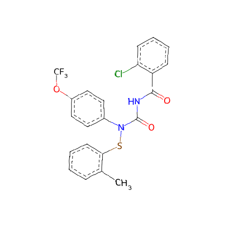 Cc1ccccc1SN(C(=O)NC(=O)c1ccccc1Cl)c1ccc(OC(F)(F)F)cc1